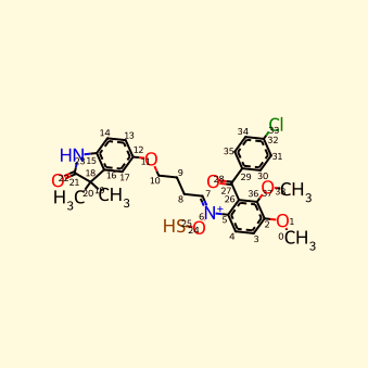 COc1ccc([N+](=CCCCOc2ccc3c(c2)C(C)(C)C(=O)N3)OS)c(C(=O)c2ccc(Cl)cc2)c1OC